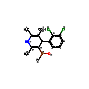 CC1=C(C(=O)O)C(c2cccc(Cl)c2Cl)C([S+]([O-])C(C)C)=C(C)N1